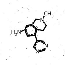 CN1CCc2c(cc(N)cc2-c2cncnc2)C1